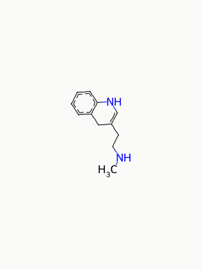 CNCCC1=CNc2ccccc2C1